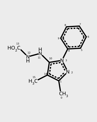 Cc1nn(-c2ccccc2)c(NNC(=O)O)c1C